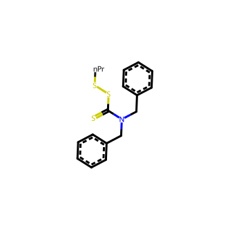 CCCSSC(=S)N(Cc1ccccc1)Cc1ccccc1